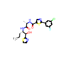 C[C@H](NC(=O)c1cnc(-c2cc(F)cc(Cl)c2)s1)C(=O)N[C@@H](CCC(F)(F)F)C(O)c1nccs1